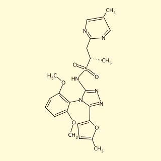 COc1cccc(OC)c1-n1c(NS(=O)(=O)[C@@H](C)Cc2ncc(C)cn2)nnc1-c1ccc(C)o1